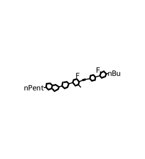 CCCCCc1ccc2cc(-c3ccc(-c4cc(C)c(C#Cc5ccc(-c6ccc(CCCC)cc6F)cc5)c(F)c4)cc3)ccc2c1